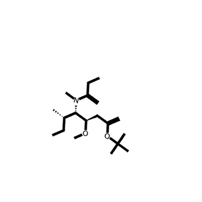 C=C(C[C@@H](OC)[C@H]([C@@H](C)CC)N(C)C(=C)CC)OC(C)(C)C